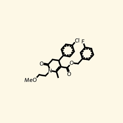 COCCN1C(=O)CC(c2ccc(Cl)cc2)C(C(=O)OCc2cccc(F)c2)=C1C